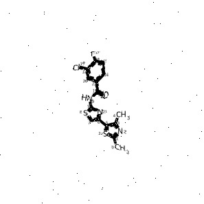 Cc1nc(C)c(-c2csc(NC(=O)c3ccc(F)c(Cl)c3)n2)s1